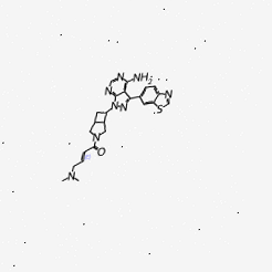 CN(C)C/C=C/C(=O)N1CC2CC(n3nc(-c4ccc5ncsc5c4)c4c(N)ncnc43)C2C1